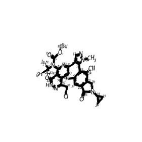 [2H]C([2H])([2H])N(C(=O)OC(C)(C)C)c1nc(-c2cnn(C)c2-c2c(F)cc3c(c2C#N)CN(C2CC2)C3=O)cc2c(CCl)n[nH]c(=O)c12